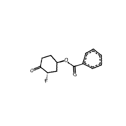 O=C(OC1CCC(=O)[C@@H](F)C1)c1ccccc1